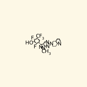 Cn1nc(-c2cc(C(F)(F)F)c(F)c(O)c2F)c2cnc(N3CCc4ncccc4C3)nc21